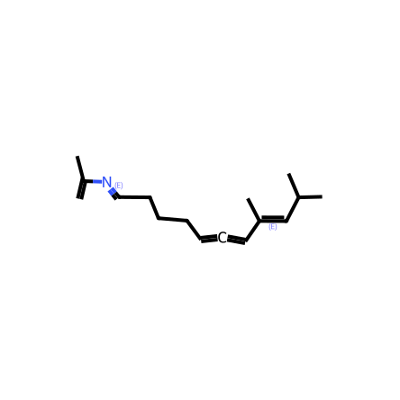 C=C(C)/N=C/CCCC=C=C/C(C)=C/C(C)C